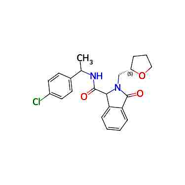 CC(NC(=O)C1c2ccccc2C(=O)N1C[C@@H]1CCCO1)c1ccc(Cl)cc1